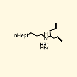 Br.Br.C=CCC(CC=C)NCCCCCCCCCC